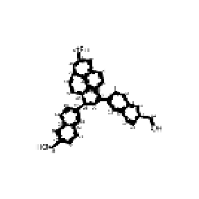 CC(C)(C)c1cc2ccc3c(-c4ccc5cc(CO)ccc5c4)cc(-c4ccc5cc(CO)ccc5c4)c4ccc(c1)c2c34